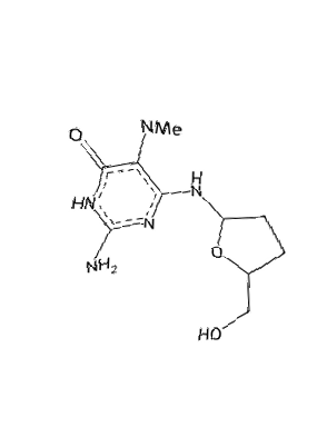 CNc1c(NC2CCC(CO)O2)nc(N)[nH]c1=O